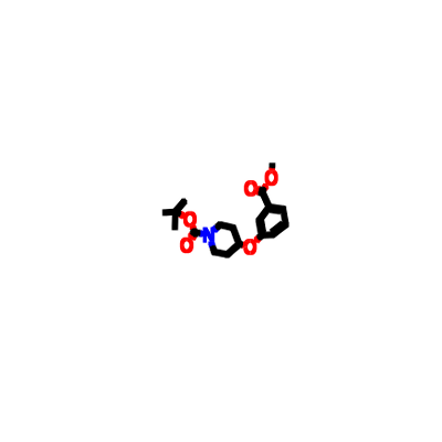 COC(=O)c1cccc(OC2CCN(C(=O)OC(C)(C)C)CC2)c1